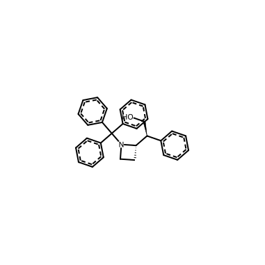 OC[C@@H](c1ccccc1)[C@@H]1CCN1C(c1ccccc1)(c1ccccc1)c1ccccc1